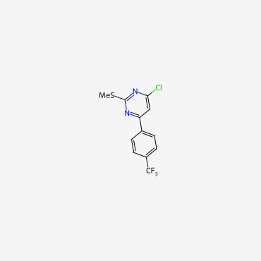 CSc1nc(Cl)cc(-c2ccc(C(F)(F)F)cc2)n1